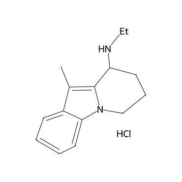 CCNC1CCCn2c1c(C)c1ccccc12.Cl